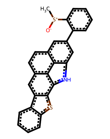 C[S+]([O-])c1ccccc1-c1cc2ccc3cc4c5ccccc5sc4c4[nH]c(c1)c2c34